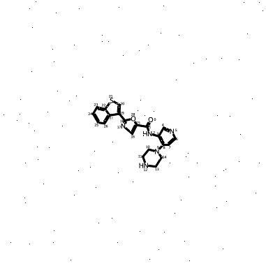 O=C(Nc1cnccc1N1CCNCC1)c1cnc(-c2csc3ccccc23)o1